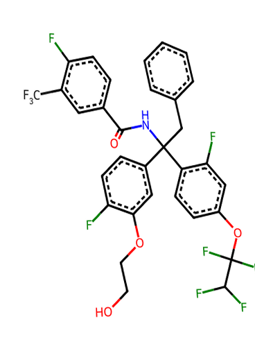 O=C(NC(Cc1ccccc1)(c1ccc(F)c(OCCO)c1)c1ccc(OC(F)(F)C(F)F)cc1F)c1ccc(F)c(C(F)(F)F)c1